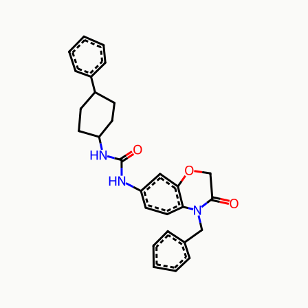 O=C(Nc1ccc2c(c1)OCC(=O)N2Cc1ccccc1)NC1CCC(c2ccccc2)CC1